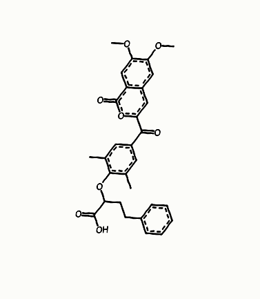 COc1cc2cc(C(=O)c3cc(C)c(OC(CCc4ccccc4)C(=O)O)c(C)c3)oc(=O)c2cc1OC